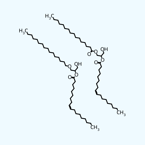 CCCCCCCC/C=C\CCCCCCCC(=O)OC(CO)COC(=O)CCCCCCCCCCCCCCC.CCCCCCCC/C=C\CCCCCCCC(=O)OC(CO)COCCCCCCCCCCCCCCCC